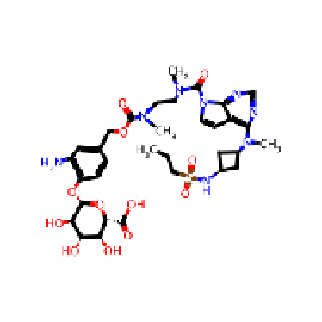 CCCS(=O)(=O)N[C@H]1C[C@@H](N(C)c2ncnc3c2ccn3C(=O)N(C)CCN(C)C(=O)OCc2ccc(O[C@@H]3O[C@H](C(=O)O)[C@@H](O)[C@H](O)[C@H]3O)c(N)c2)C1